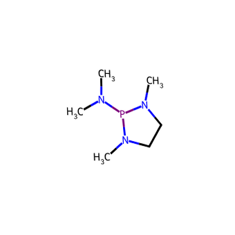 CN(C)P1N(C)CCN1C